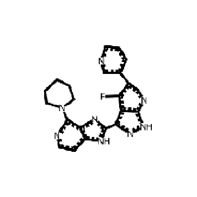 Fc1c(-c2cccnc2)cnc2[nH]nc(-c3nc4c(N5CCCCC5)nccc4[nH]3)c12